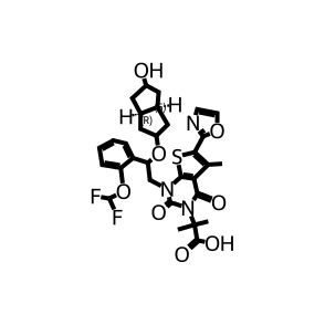 Cc1c(-c2ncco2)sc2c1c(=O)n(C(C)(C)C(=O)O)c(=O)n2CC(OC1C[C@H]2CC(O)C[C@H]2C1)c1ccccc1OC(F)F